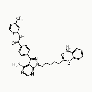 Nc1ccccc1NC(=O)CCCCCn1nc(-c2ccc(C(=O)Nc3cc(C(F)(F)F)ccn3)cc2)c2c(N)ncnc21